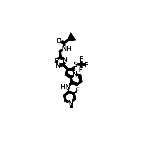 CN1CC[C@@H](Nc2cccn3c(SC(F)(F)F)c(-c4nsc(CNC(=O)C5CC5)n4)cc23)[C@@H](F)C1